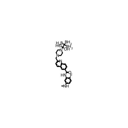 BC(B)(B)C(O)(O)N1CCN(Cc2ccc3cc(C(=O)Nc4cc(NC)ccc4F)ccc3n2)CC1